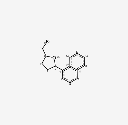 BrCC1CCC(c2cccc3ccccc23)O1